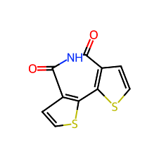 O=c1[nH]c(=O)c2ccsc2c2sccc12